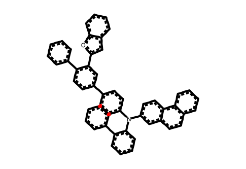 c1ccc(-c2ccc(-c3ccc(N(c4ccc5c(ccc6ccccc65)c4)c4ccccc4-c4ccccc4)cc3)cc2-c2cc3ccccc3o2)cc1